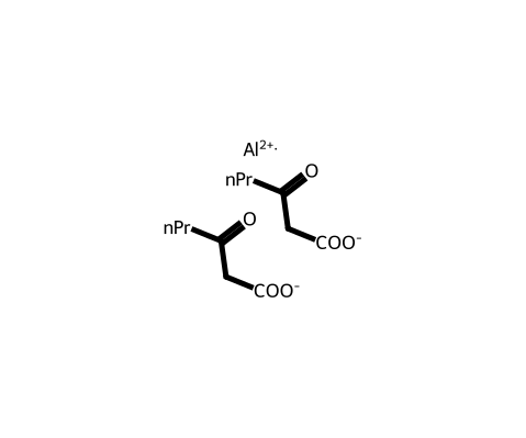 CCCC(=O)CC(=O)[O-].CCCC(=O)CC(=O)[O-].[Al+2]